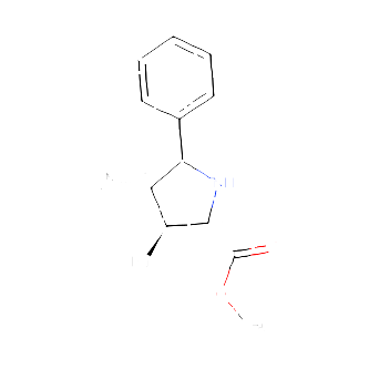 CC(C)(C)OC(=O)[C@H]1NC(c2ccccc2)[C@@H]([N+](=O)[O-])[C@@H]1C(C)(C)C